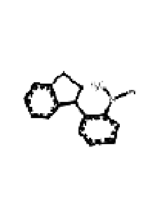 CCN(C)c1ccccc1C1CCc2ccccc21